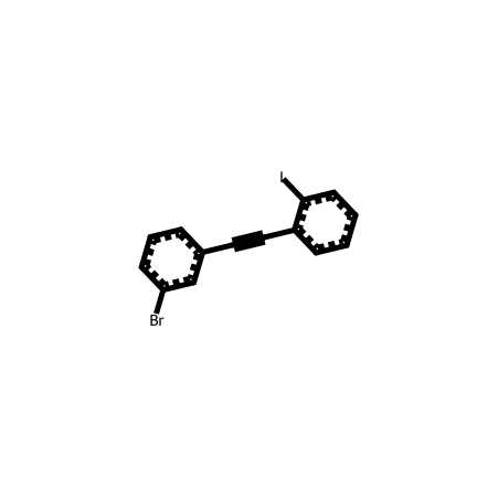 Brc1cccc(C#Cc2ccccc2I)c1